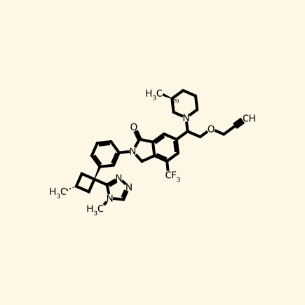 C#CCOCC(c1cc2c(c(C(F)(F)F)c1)CN(c1cccc([C@]3(c4nncn4C)C[C@@H](C)C3)c1)C2=O)N1CCC[C@H](C)C1